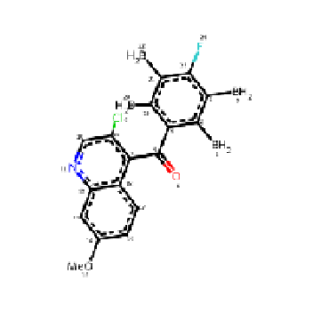 Bc1c(B)c(C(=O)c2c(Cl)cnc3cc(OC)ccc23)c(B)c(B)c1F